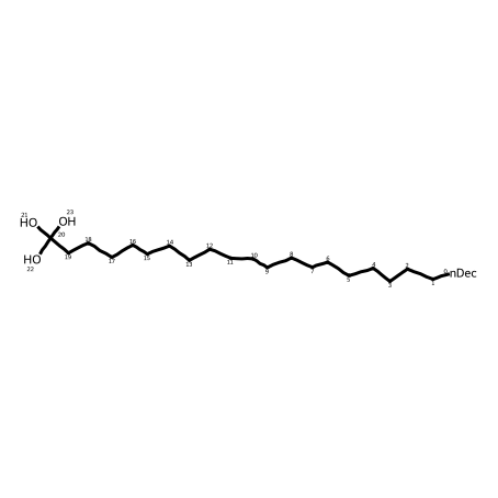 CCCCCCCCCCCCCCCCCCCCCCCCCCCCCC(O)(O)O